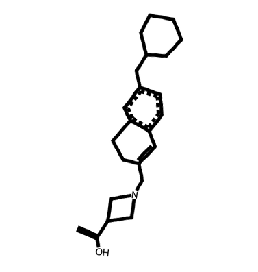 C=C(O)C1CN(CC2=Cc3ccc(CC4CCCCC4)cc3CC2)C1